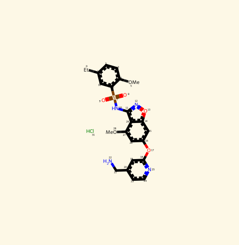 CCc1ccc(OC)c(S(=O)(=O)Nc2noc3cc(Oc4cc(CN)ccn4)cc(OC)c23)c1.Cl